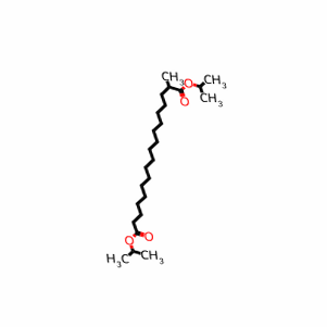 CC(C)OC(=O)CCCCCCCCCCCCCCCC(C)C(=O)OC(C)C